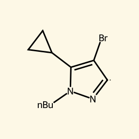 CCCCn1n[c]c(Br)c1C1CC1